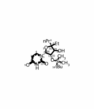 CCC[C@]1(CC)O[C@@H](n2ccc(=O)[nH]c2=O)[C@@H](O[Si](C)(C)C(C)(C)C)C1O